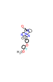 COc1cccc(Oc2ccc(-c3nc(C4CCCCN4C=CC=O)n4c(C)cnc(C)c34)cc2)c1F